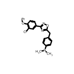 CC(C)Oc1ccc(-c2noc(Cc3ccc(N(C)C)cc3)n2)cc1Cl